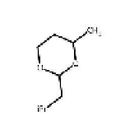 CC(C)CC1OCCC(C)O1